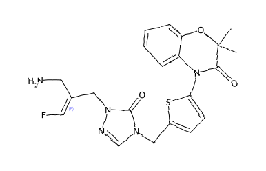 CC1(C)Oc2ccccc2N(c2ccc(Cn3cnn(C/C(=C/F)CN)c3=O)s2)C1=O